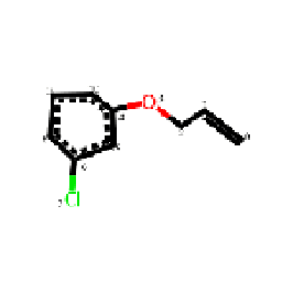 C=CCOc1[c]c(Cl)ccc1